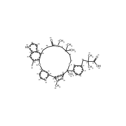 CN1CC(C)(C)CCC[C@](C)(c2cccc(CC(C)(C)C(=O)O)c2)c2nc(n(C)n2)-c2cc(ccn2)Oc2c(F)cc3[nH]ccc3c2CCC1=O